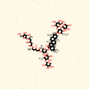 CC[C@H](C)C(CC(O)CC(=O)O[C@H]1[C@@H](O)[C@H](O[C@@H]2O[C@@H](C)[C@H](O[C@@H]3OC[C@@H](O)[C@H](O)[C@H]3O)[C@@H](O)[C@H]2O)[C@@H](OC(=O)[C@]23CCC(C)(C)C[C@H]2C2=CCC4[C@@]5(C)CC[C@H](OC6O[C@H](C(=O)O)[C@@H](O)[C@H](O[C@H]7OC[C@@H](O)[C@H](O)[C@H]7O)[C@H]6O[C@@H]6O[C@H](CO)[C@H](O)[C@H](O)[C@H]6O)[C@@](C)(C=O)C5CC[C@@]4(C)[C@]2(C)C[C@H]3O)O[C@H]1C)OC(=O)CC(O)CC(O[C@@H]1O[C@@H](CO)[C@H](O)[C@H]1O)[C@@H](C)CC